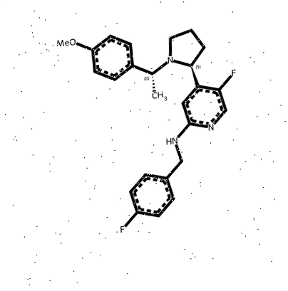 COc1ccc([C@@H](C)N2CCC[C@H]2c2cc(NCc3ccc(F)cc3)ncc2F)cc1